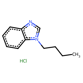 CCCCn1cnc2ccccc21.Cl